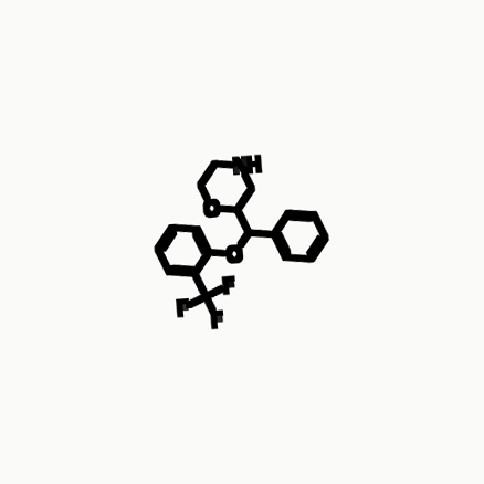 FC(F)(F)c1ccccc1OC(c1ccccc1)C1CNCCO1